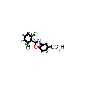 O=C(O)c1ccc2oc(-c3c(Cl)cccc3Cl)nc2c1